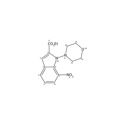 CCOC(=O)c1cc2cccc([N+](=O)[O-])c2n1N1CCOCC1